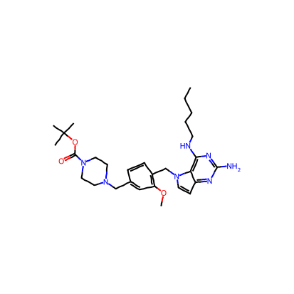 CCCCCNc1nc(N)nc2ccn(Cc3ccc(CN4CCN(C(=O)OC(C)(C)C)CC4)cc3OC)c12